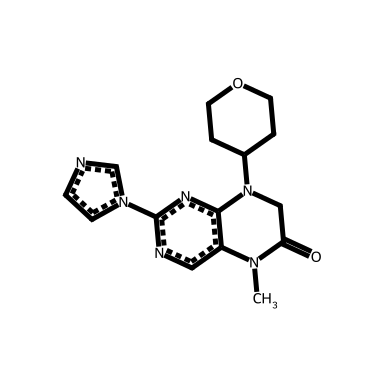 CN1C(=O)CN(C2CCOCC2)c2nc(-n3ccnc3)ncc21